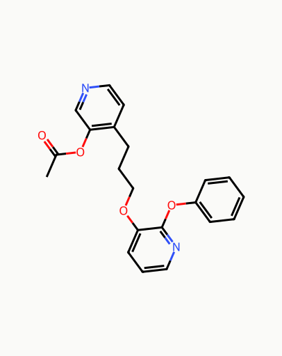 CC(=O)Oc1cnccc1CCCOc1cccnc1Oc1ccccc1